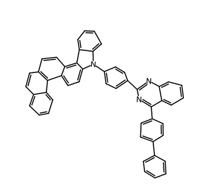 c1ccc(-c2ccc(-c3nc(-c4ccc(-n5c6ccccc6c6c7ccc8ccc9ccccc9c8c7ccc65)cc4)nc4ccccc34)cc2)cc1